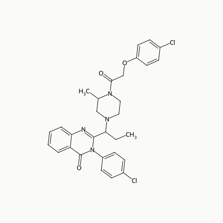 CCC(c1nc2ccccc2c(=O)n1-c1ccc(Cl)cc1)N1CCN(C(=O)COc2ccc(Cl)cc2)C(C)C1